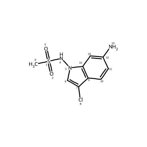 CS(=O)(=O)Nn1cc(Cl)c2ccc(N)cc21